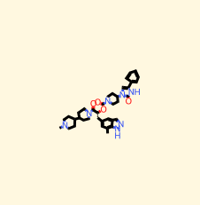 Cc1cc(C[C@@H](OC(=O)N2CCC(n3cc(-c4ccccc4)[nH]c3=O)CC2)C(=O)N2CCC(C3CCN(C)CC3)CC2)cc2cn[nH]c12